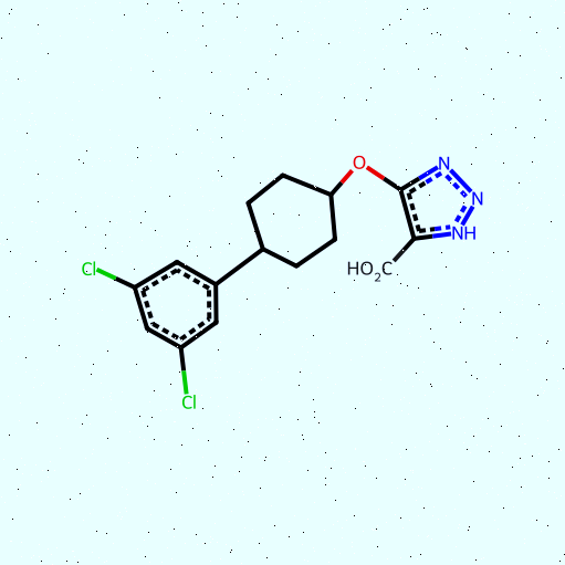 O=C(O)c1[nH]nnc1OC1CCC(c2cc(Cl)cc(Cl)c2)CC1